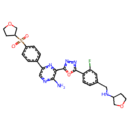 Nc1ncc(-c2ccc(S(=O)(=O)C3CCOC3)cc2)nc1-c1nnc(-c2ccc(CNC3CCOC3)cc2F)o1